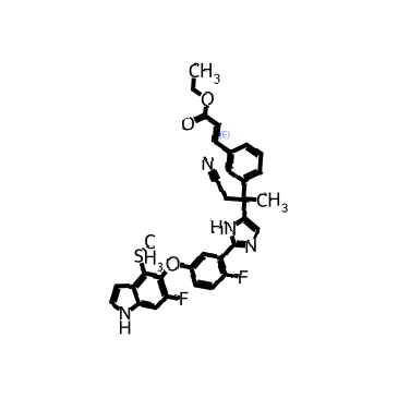 CCOC(=O)/C=C/c1cccc(C(C)(CC#N)c2cnc(-c3cc(Oc4c(F)cc5[nH]ccc5c4SC)ccc3F)[nH]2)c1